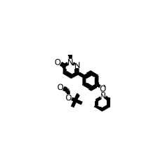 CC(C)(C)OC=O.Cn1nc(-c2ccc(ON3CCCCC3)cc2)ccc1=O